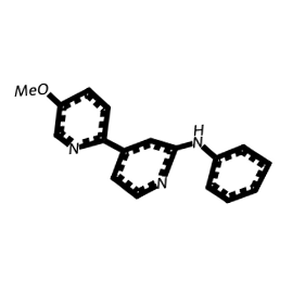 COc1ccc(-c2ccnc(Nc3ccccc3)c2)nc1